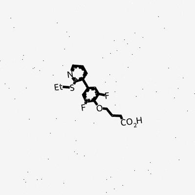 CCSc1ncccc1-c1cc(F)c(OCCCC(=O)O)c(F)c1